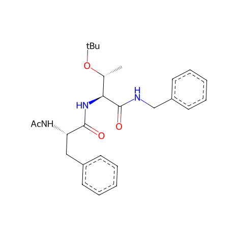 CC(=O)N[C@@H](Cc1ccccc1)C(=O)N[C@H](C(=O)NCc1ccccc1)[C@@H](C)OC(C)(C)C